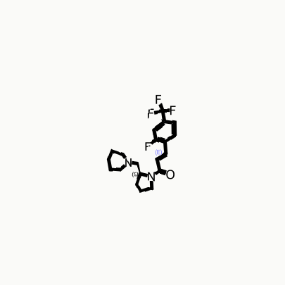 O=C(/C=C/c1ccc(C(F)(F)F)cc1F)N1CCC[C@H]1CN1CCCCC1